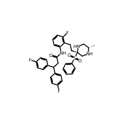 C[C@H]1CN[C@@](CCc2c(F)cccc2NC(=O)CC(c2ccc(F)cc2)c2ccc(F)cc2)(S(=O)(=O)c2ccccc2)CN1